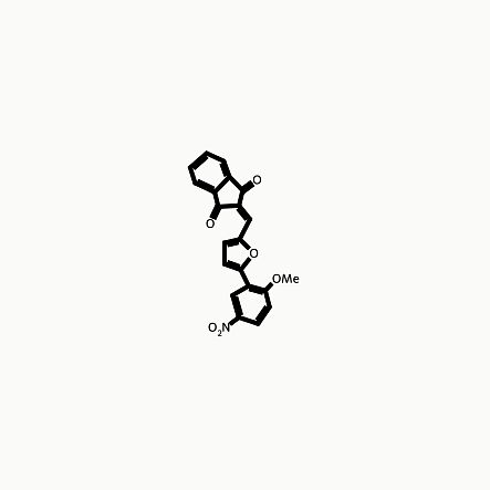 COc1ccc([N+](=O)[O-])cc1-c1ccc(C=C2C(=O)c3ccccc3C2=O)o1